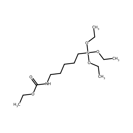 CCOC(=O)NCCCCC[Si](OCC)(OCC)OCC